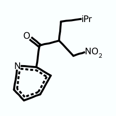 CC(C)CC(C[N+](=O)[O-])C(=O)c1ccccn1